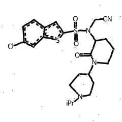 CC(C)N1CCC(N2CCCC(N(CC#N)S(=O)(=O)c3cc4ccc(Cl)cc4s3)C2=O)CC1